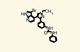 CCn1cc(-c2ccnc3[nH]cc(Br)c23)c(-c2cccc(NC(=O)Nc3ccccc3)c2)n1